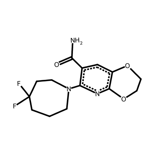 NC(=O)c1cc2c(nc1N1CCCC(F)(F)CC1)OCCO2